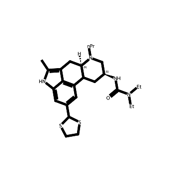 CCCN1C[C@@H](NC(=O)N(CC)CC)CC2c3cc(C4SCCS4)cc4[nH]c(C)c(c34)C[C@H]21